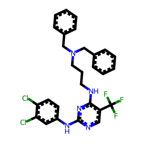 FC(F)(F)c1cnc(Nc2ccc(Cl)c(Cl)c2)nc1NCCCN(Cc1ccccc1)Cc1ccccc1